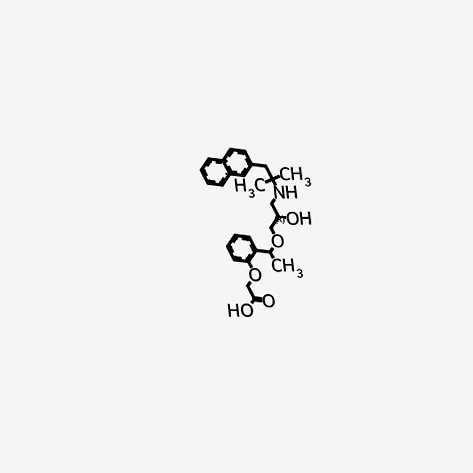 CC(OC[C@H](O)CNC(C)(C)Cc1ccc2ccccc2c1)c1ccccc1OCC(=O)O